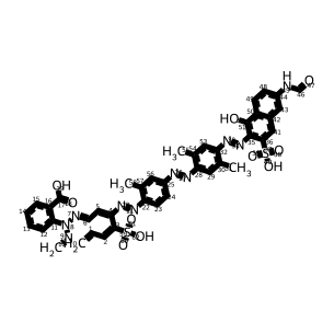 C=C\C=C(/C(=C\C=N\N(N=C)c1ccccc1C(=O)O)N=Nc1ccc(N=Nc2cc(C)c(N=Nc3c(S(=O)(=O)O)cc4cc(NC=O)ccc4c3O)cc2C)cc1C)S(=O)(=O)O